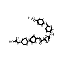 COc1ccc(Oc2ccc(Nc3nnc(C(=O)Nc4ccc([C@H]5CC[C@H](CC(=O)O)CC5)cc4)o3)cn2)cc1